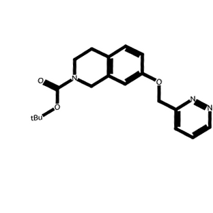 CC(C)(C)OC(=O)N1CCc2ccc(OCc3cccnn3)cc2C1